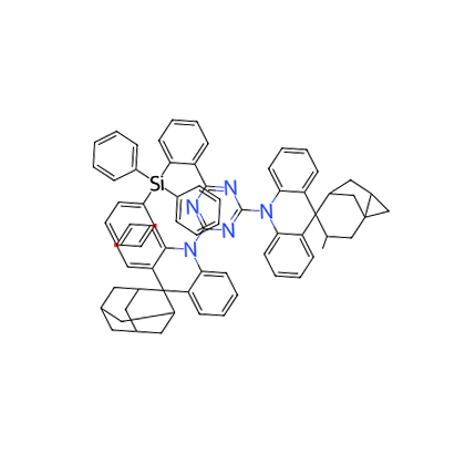 CC1CC23CC2CC(C3)C12c1ccccc1N(c1nc(-c3ccccc3[Si](c3ccccc3)(c3ccccc3)c3ccccc3)nc(N3c4ccccc4C4(c5ccccc53)C3CC5CC(C3)CC4C5)n1)c1ccccc12